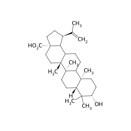 C=C(C)[C@@H]1CC[C@]2(C(=O)O)CC[C@]3(C)C(CCC4[C@@]5(C)CC[C@H](O)C(C)(C)[C@@H]5CC[C@]43C)C12